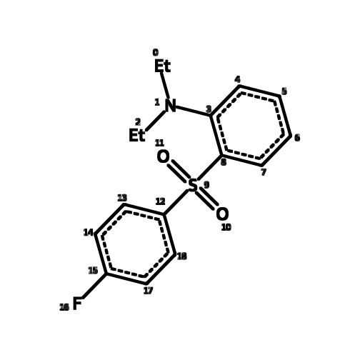 CCN(CC)c1ccccc1S(=O)(=O)c1ccc(F)cc1